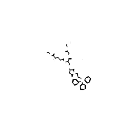 CCOC(=O)CNC(=O)C(CSC1CC(=O)N(CCC[P+](c2ccccc2)(c2ccccc2)c2ccccc2)C1=O)NC(=O)CCC(N)C(=O)OCC.[Br-]